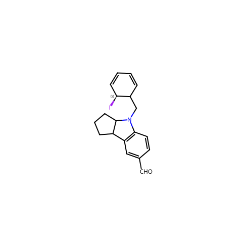 O=Cc1ccc2c(c1)C1CCCC1N2CC1C=CC=C[C@@H]1I